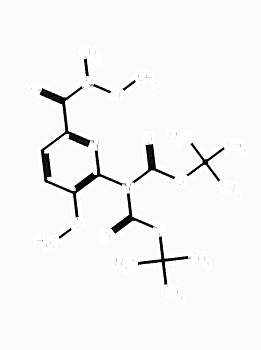 COc1ccc(C(=O)N(C)OC)nc1N(C(=O)OC(C)(C)C)C(=O)OC(C)(C)C